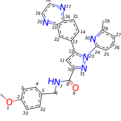 COc1ccc(CNC(=O)c2cc(-c3ccc4nccnc4c3)n(-c3cccc(C)n3)n2)cc1